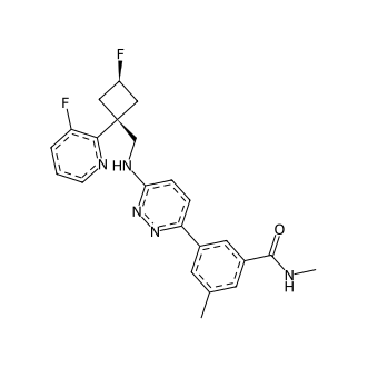 CNC(=O)c1cc(C)cc(-c2ccc(NC[C@]3(c4ncccc4F)C[C@H](F)C3)nn2)c1